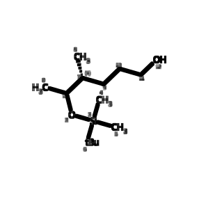 CC(O[Si](C)(C)C(C)(C)C)[C@H](C)CCCO